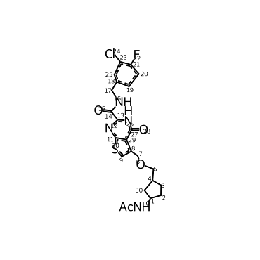 CC(=O)NC1CCC(COCc2csc3nc(C(=O)NCc4ccc(F)c(Cl)c4)[nH]c(=O)c23)C1